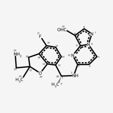 C[C@@H](Nc1ccn2ncc(C=O)c2n1)c1ccc(F)c2c1OC(C)(CN)C2